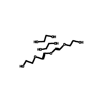 OCCO.OCCO.OCCOC=COC=COCCO